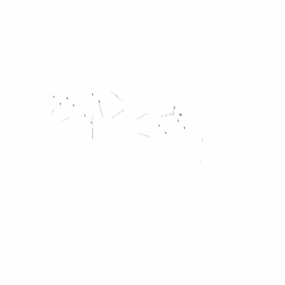 CO[C@@H](CCC1CC1)Cc1nnc2cc(-c3ccnc(Nc4ccnn4C)c3)ccn12